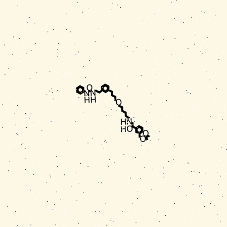 CC1(C)OCc2cc([C@@H](O)CNCCCCCCOCCCCc3cccc(CCNC(=O)Nc4ccccc4)c3)ccc2O1